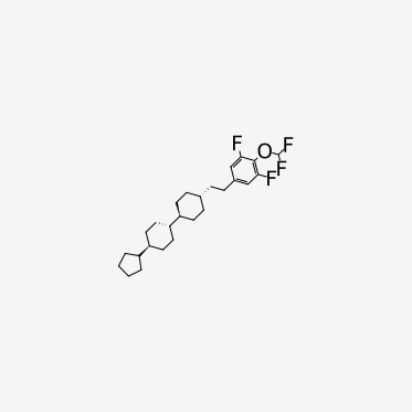 Fc1cc(CC[C@H]2CC[C@H]([C@H]3CC[C@H](C4CCCC4)CC3)CC2)cc(F)c1OC(F)F